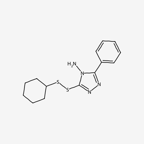 Nn1c(SSC2CCCCC2)nnc1-c1ccccc1